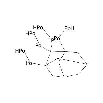 [PoH][Po][C]12CC3CC(C1)C[C]([Po][PoH])(C3)[C]2([Po][PoH])[Po][PoH]